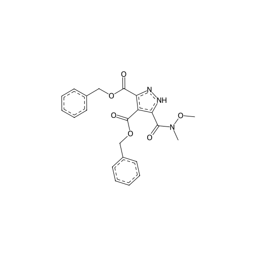 CON(C)C(=O)c1[nH]nc(C(=O)OCc2ccccc2)c1C(=O)OCc1ccccc1